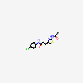 CC(C)C(=O)NC1=NC(=CCC(=O)Nc2ccc(Cl)cc2)CS1